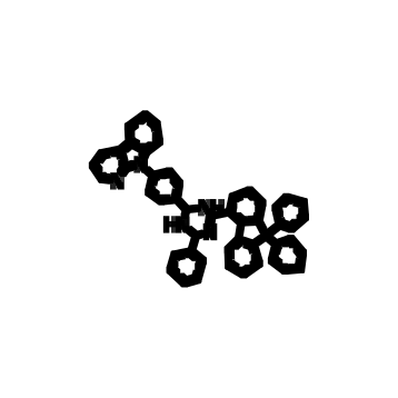 c1ccc(C2N=C(c3cccc4c3-c3ccccc3C4(c3ccccc3)c3ccccc3)NC(c3ccc(-n4c5ccccc5c5cccnc54)cc3)N2)cc1